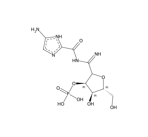 N=C(NC(=O)c1ncc(N)[nH]1)C1O[C@H](CO)[C@@H](O)[C@H]1OP(=O)(O)O